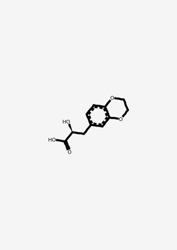 O=C(O)[C@@H](O)Cc1ccc2c(c1)OCCO2